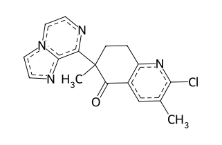 Cc1cc2c(nc1Cl)CCC(C)(c1nccn3ccnc13)C2=O